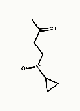 CC(=O)CC[S+]([O-])C1CC1